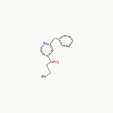 CC(C)CCC(=O)c1ccnc(Cc2ccccc2)c1